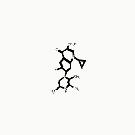 CC1CN(c2cc3c(cc2F)c(=O)c(C(=O)O)cn3C2CC2)C(C)C(C)N1